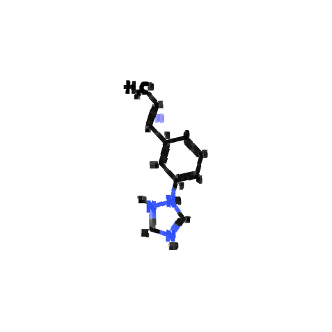 [CH2]/C=C/c1cccc(-n2cncn2)c1